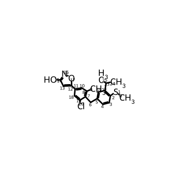 CSc1ccc(Cc2c(C)cc(-c3cc(O)no3)cc2Cl)cc1C(C)C